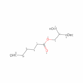 CCCCCCCCCCC(CCCCCCCC)COC(=O)CCCCC=O